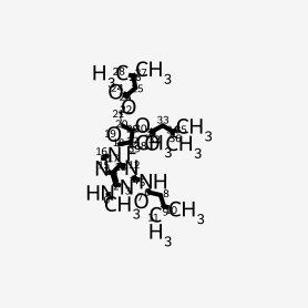 CNc1nc(NC(=O)CC(C)C)nc2c1ncn2[C@@H]1O[C@H](COC(=O)CC(C)C)[C@@H](OC(=O)CC(C)C)[C@@]1(C)F